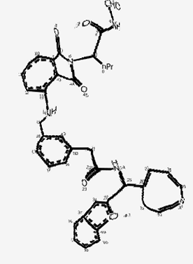 CCCC(C(=O)NC=O)N1C(=O)c2cccc(NCc3cccc(CC(=O)NC(C4=CC=CN=CC4)c4cc5ccccc5o4)c3)c2C1=O